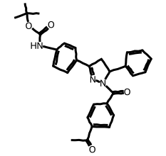 CC(=O)c1ccc(C(=O)N2N=C(c3ccc(NC(=O)OC(C)(C)C)cc3)CC2c2ccccc2)cc1